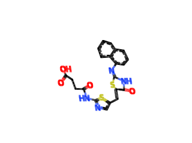 O=C(O)CCC(=O)Nc1ncc(C=C2SC(=Nc3cccc4ccccc34)NC2=O)s1